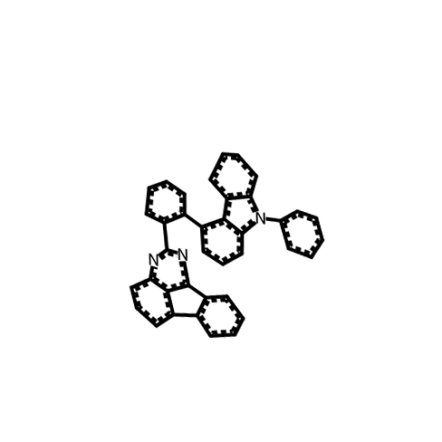 c1ccc(-n2c3ccccc3c3c(-c4ccccc4-c4nc5c6c(cccc6n4)-c4ccccc4-5)cccc32)cc1